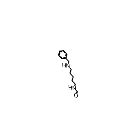 O=CNCCCCCNCc1ccccc1